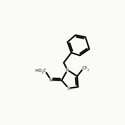 O=C(O)/N=c1/scc(C(F)(F)F)n1Cc1ccccc1